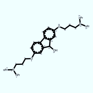 CCCN(CCC)CCCOc1ccc2c(c1)C(O)c1cc(OCCCN(CCC)CCC)ccc1-2